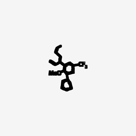 C=C/C(=C\C=C/C)c1cc(C(F)(F)F)cc(-c2ccccc2)c1OC